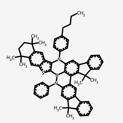 CCCCc1ccc(N2c3cc4c(c5c3B(c3sc6cc7c(cc6c32)C(C)(C)CCC7(C)C)N(c2ccccc2)c2cc3c(cc2-5)-c2ccccc2C3(C)C)C(C)(C)c2ccccc2-4)cc1